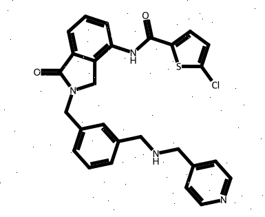 O=C(Nc1cccc2c1CN(Cc1cccc(CNCc3ccncc3)c1)C2=O)c1ccc(Cl)s1